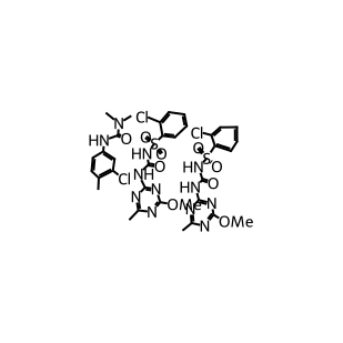 COc1nc(C)nc(NC(=O)NS(=O)(=O)c2ccccc2Cl)n1.COc1nc(C)nc(NC(=O)NS(=O)(=O)c2ccccc2Cl)n1.Cc1ccc(NC(=O)N(C)C)cc1Cl